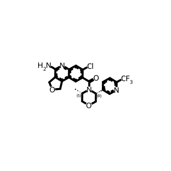 C[C@H]1COC[C@@H](c2ccc(C(F)(F)F)nc2)N1C(=O)c1cc2c3c(c(N)nc2cc1Cl)COC3